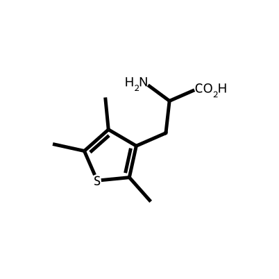 Cc1sc(C)c(CC(N)C(=O)O)c1C